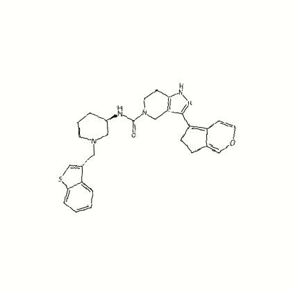 O=C(N[C@@H]1CCCN(Cc2csc3ccccc23)C1)N1CCc2[nH]nc(C3=C4C=COC=C4CC3)c2C1